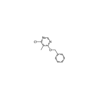 Cc1c(Cl)ncnc1OCc1ccccc1